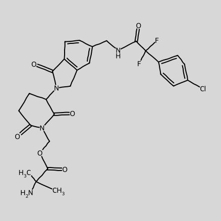 CC(C)(N)C(=O)OCN1C(=O)CCC(N2Cc3cc(CNC(=O)C(F)(F)c4ccc(Cl)cc4)ccc3C2=O)C1=O